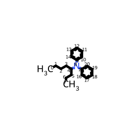 CCCCC(CCC)N(c1ccccc1)c1ccccc1